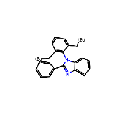 CC(C)(C)Cc1cccc(CC(C)(C)C)c1-n1c(-c2ccccc2)nc2ccccc21